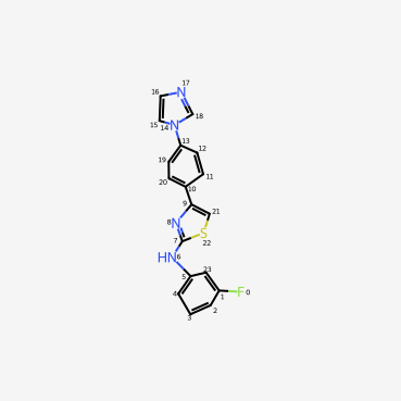 Fc1cccc(Nc2nc(-c3ccc(-n4ccnc4)cc3)cs2)c1